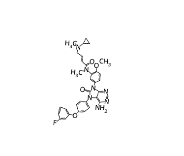 COc1ccc(-n2c(=O)n(-c3ccc(Oc4cccc(F)c4)cc3)c3c(N)ncnc32)cc1N(C)C(=O)C=CCN(C)C1CC1